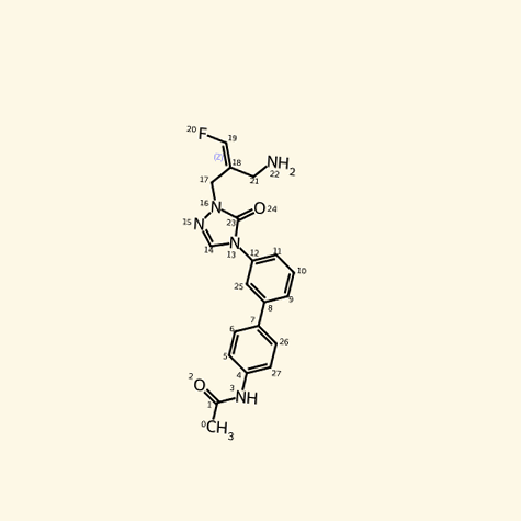 CC(=O)Nc1ccc(-c2cccc(-n3cnn(C/C(=C\F)CN)c3=O)c2)cc1